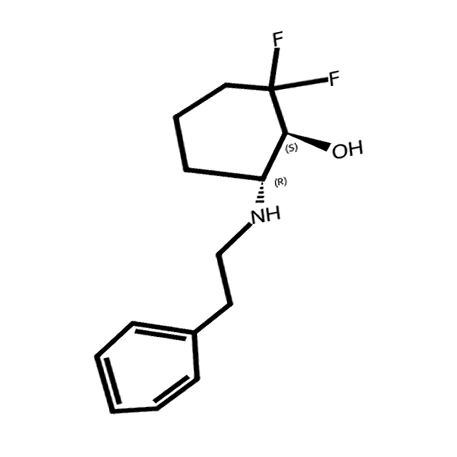 O[C@H]1[C@H](NCCc2ccccc2)CCCC1(F)F